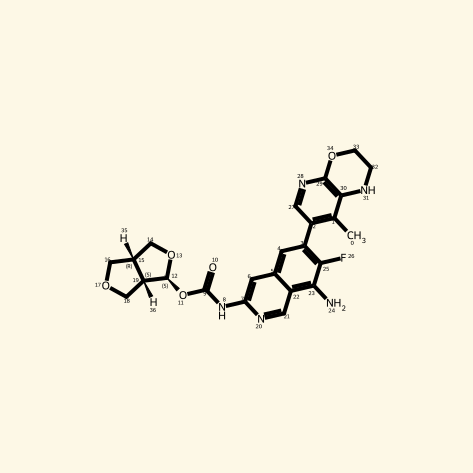 Cc1c(-c2cc3cc(NC(=O)O[C@@H]4OC[C@H]5COC[C@H]54)ncc3c(N)c2F)cnc2c1NCCO2